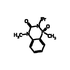 CC(C)N1C(=O)N(C)c2ccccc2P1(C)=O